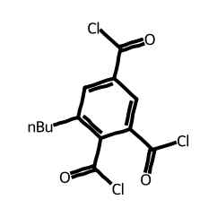 CCCCc1cc(C(=O)Cl)cc(C(=O)Cl)c1C(=O)Cl